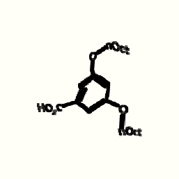 CCCCCCCCOc1cc(OCCCCCCCC)cc(C(=O)O)c1